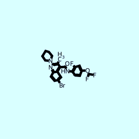 Cc1c(N2CCCCC2)nc2ccc(Br)cc2c1C(=O)Nc1[c]cc(OC(F)F)cc1F